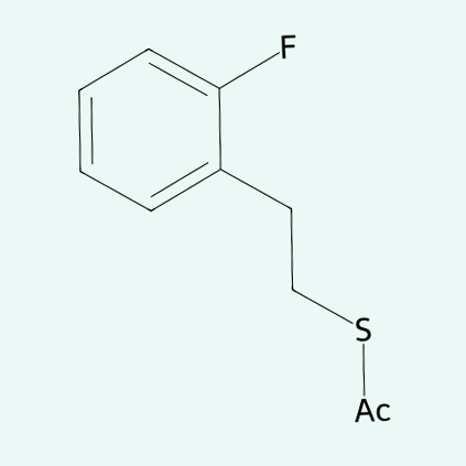 CC(=O)SCCc1ccccc1F